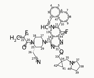 C#Cc1cccc2cccc(-c3ncc4c(N5CCN(C(=O)C(=C)F)[C@@H](CC#N)C5)nc(OCC5(CN6CCCC6)CC5)nc4c3F)c12